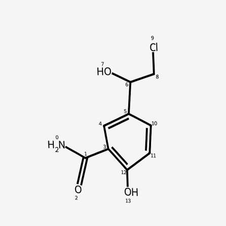 NC(=O)c1cc(C(O)CCl)ccc1O